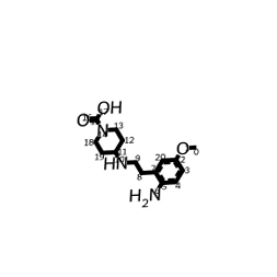 COc1ccc(N)c(CCNC2CCN(C(=O)O)CC2)c1